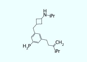 C=C(CCc1cc(P)cc(CC2CC(NC(C)C)C2)c1)C(C)C